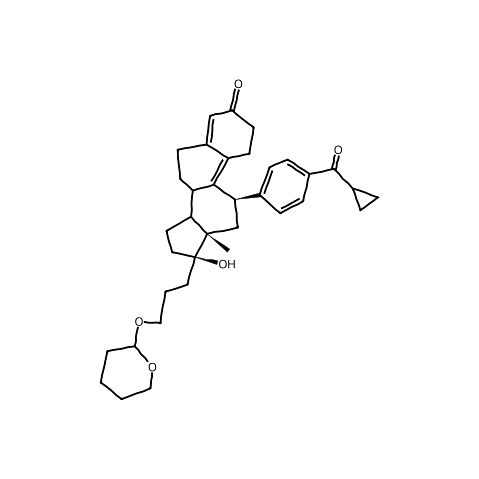 C[C@]12C[C@H](c3ccc(C(=O)C4CC4)cc3)C3=C4CCC(=O)C=C4CCC3C1CC[C@@]2(O)CCCOC1CCCCO1